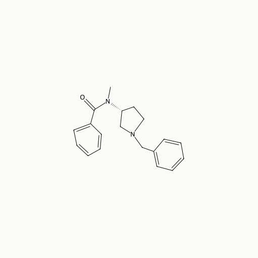 CN(C(=O)c1ccccc1)[C@@H]1CCN(Cc2ccccc2)C1